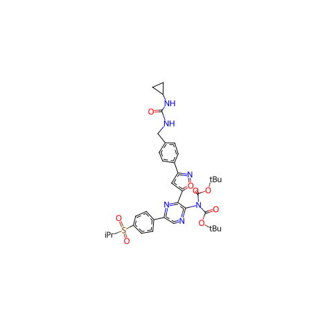 CC(C)S(=O)(=O)c1ccc(-c2cnc(N(C(=O)OC(C)(C)C)C(=O)OC(C)(C)C)c(-c3cc(-c4ccc(CNC(=O)NC5CC5)cc4)no3)n2)cc1